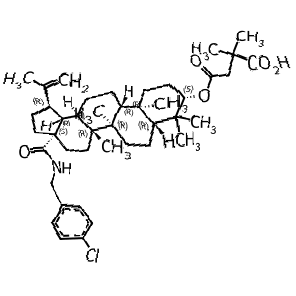 C=C(C)[C@@H]1CC[C@]2(C(=O)NCc3ccc(Cl)cc3)CC[C@]3(C)[C@H](CC[C@@H]4[C@@]5(C)CC[C@H](OC(=O)CC(C)(C)C(=O)O)C(C)(C)[C@@H]5CC[C@]43C)[C@@H]12